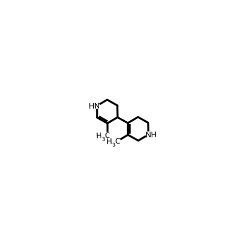 CC1=CNCCC1C1=C(C)CNCC1